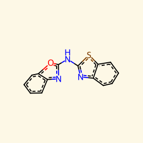 c1ccc2oc(Nc3nc4ccccc4s3)nc2c1